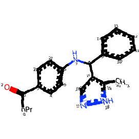 CCCC(=O)c1ccc(NC(c2ccccc2)c2cn[nH]c2C)cc1